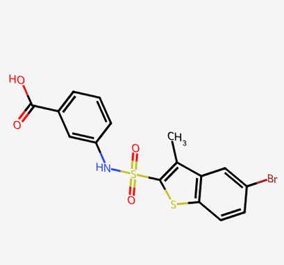 Cc1c(S(=O)(=O)Nc2cccc(C(=O)O)c2)sc2ccc(Br)cc12